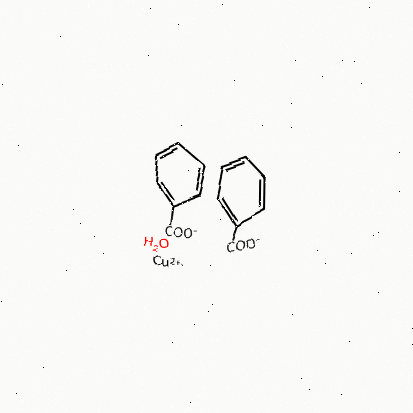 O.O=C([O-])c1ccccc1.O=C([O-])c1ccccc1.[Cu+2]